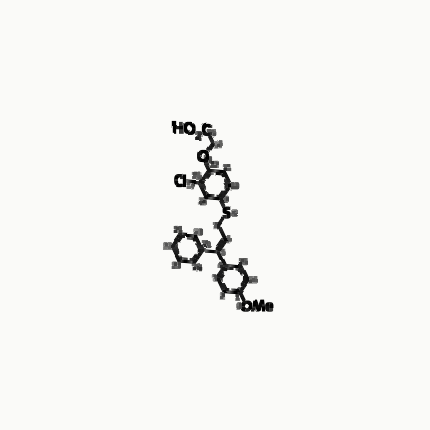 COc1ccc(C(=CCSc2ccc(OCC(=O)O)c(Cl)c2)c2ccccc2)cc1